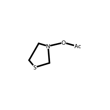 CC(=O)ON1CCSC1